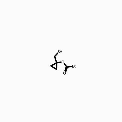 CCC(=O)OC1(CS)CC1